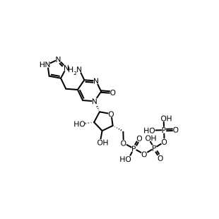 Nc1nc(=O)n([C@@H]2O[C@H](COP(=O)(O)OP(=O)(O)OP(=O)(O)O)C(O)[C@@H]2O)cc1Cc1c[nH]nn1